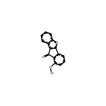 CCOc1cccc2c1C(=O)c1c-2sc2ccccc12